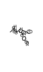 CCCS(=O)(=O)NC(=O)c1cnc2cc(N3CCOCC3)nc(O[C@H]3CC[C@@H](n4ccnc4)CC3)c2c1